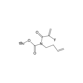 C=CCCN(C(=O)OC(C)(C)C)C(=O)C(=C)F